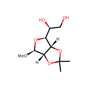 CO[C@H]1O[C@@H]([C@@H](O)CO)[C@@H]2OC(C)(C)O[C@H]12